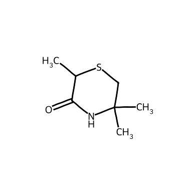 CC1SCC(C)(C)NC1=O